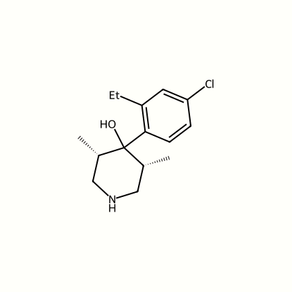 CCc1cc(Cl)ccc1C1(O)[C@H](C)CNC[C@@H]1C